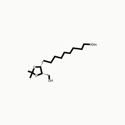 CCCCCCCCCCCCCCCCCCC[C@H]1OC(C)(C)O[C@H]1CO